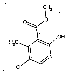 COC(=O)c1c(O)ncc(Cl)c1C